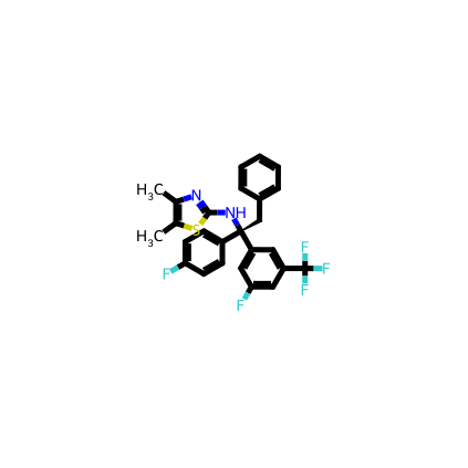 Cc1nc(N[C@@](Cc2ccccc2)(c2ccc(F)cc2)c2cc(F)cc(C(F)(F)F)c2)sc1C